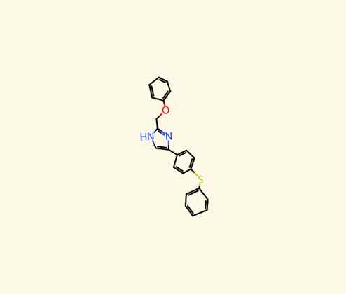 c1ccc(OCc2nc(-c3ccc(Sc4ccccc4)cc3)c[nH]2)cc1